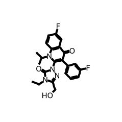 CCn1c(CO)nn(-c2c(-c3cccc(F)c3)c(=O)c3cc(F)ccc3n2C(C)C)c1=O